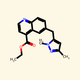 CCOC(=O)c1ccnc2ccc(Cc3cc(C)nn3C)cc12